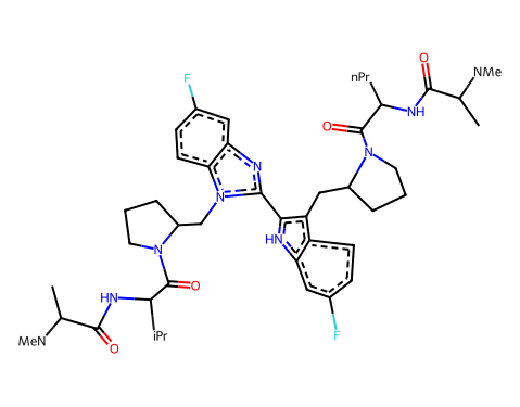 CCCC(NC(=O)C(C)NC)C(=O)N1CCCC1Cc1c(-c2nc3cc(F)ccc3n2CC2CCCN2C(=O)C(NC(=O)C(C)NC)C(C)C)[nH]c2cc(F)ccc12